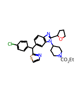 CCOC(=O)N1CCC(n2c(C3CCCO3)nc3ccc(C(c4ccc(Cl)cc4)c4nccs4)cc32)CC1